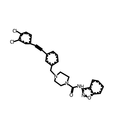 O=C(Nc1noc2ccccc12)N1CCN(Cc2cccc(C#Cc3ccc(Cl)c(Cl)c3)c2)CC1